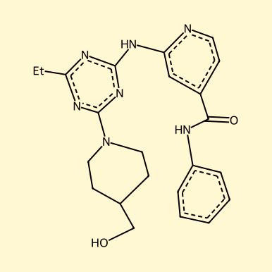 CCc1nc(Nc2cc(C(=O)Nc3ccccc3)ccn2)nc(N2CCC(CO)CC2)n1